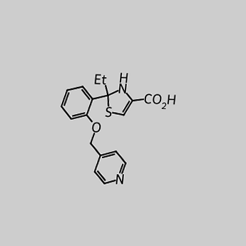 CCC1(c2ccccc2OCc2ccncc2)NC(C(=O)O)=CS1